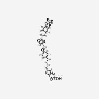 O=C(O)Cn1cc(CCCCc2ccc(OCc3coc(C=Cc4ccc(OC(F)(F)F)cc4)n3)cc2)nn1